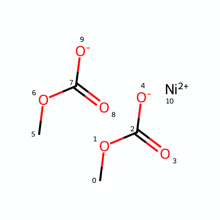 COC(=O)[O-].COC(=O)[O-].[Ni+2]